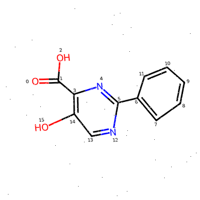 O=C(O)c1nc(-c2ccccc2)ncc1O